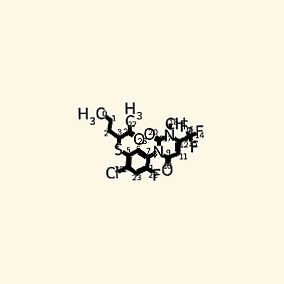 CCCC(Sc1cc(-n2c(=O)cc(C(F)(F)F)n(C)c2=O)c(F)cc1Cl)C(C)=O